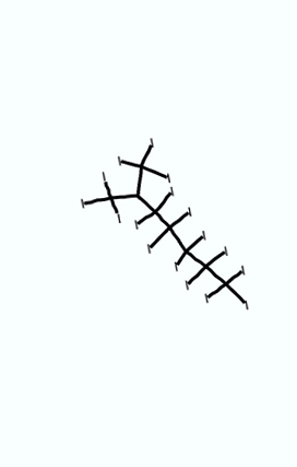 IC(I)(I)[C](C(I)(I)I)C(I)(I)C(I)(I)C(I)(I)C(I)(I)C(I)(I)I